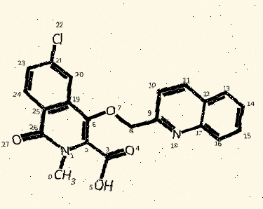 Cn1c(C(=O)O)c(OCc2ccc3ccccc3n2)c2cc(Cl)ccc2c1=O